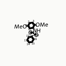 COc1ccc(OC)c(NS(=O)(=O)c2ccccc2)c1